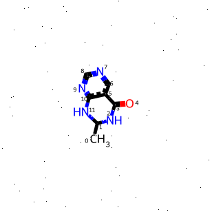 CC1NC(=O)c2cncnc2N1